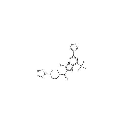 O=C(c1nc2c(C(F)(F)F)cc(-c3ccoc3)cn2c1Cl)N1CCC(N2C=COC2)CC1